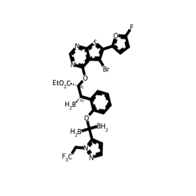 B[C@@H](c1ccccc1OC(B)(B)c1ccnn1CC(F)(F)F)[C@@H](Oc1ncnc2sc(-c3ccc(F)o3)c(Br)c12)C(=O)OCC